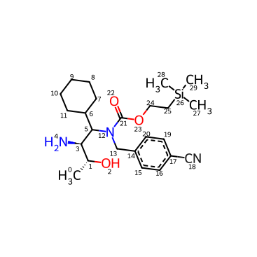 C[C@@H](O)[C@@H](N)C(C1CCCCC1)N(Cc1ccc(C#N)cc1)C(=O)OCC[Si](C)(C)C